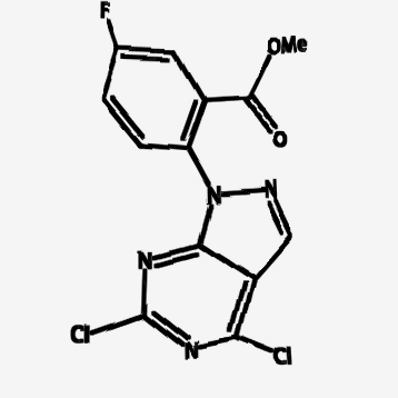 COC(=O)c1cc(F)ccc1-n1ncc2c(Cl)nc(Cl)nc21